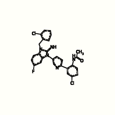 CC(=O)Nc1ccc(Cl)cc1-c1ccc(-n2c(=N)n(Cc3ccccc3Cl)c3ccc(F)cc32)cn1